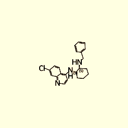 Clc1ccc2c(N[C@H]3CCCC[C@@H]3NCc3ccccc3)ccnc2c1